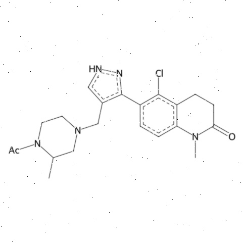 CC(=O)N1CCN(Cc2c[nH]nc2-c2ccc3c(c2Cl)CCC(=O)N3C)CC1C